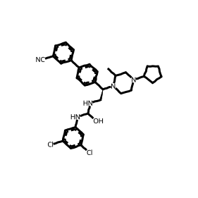 CC1CN(C2CCCC2)CCN1[C@@H](CNC(O)Nc1cc(Cl)cc(Cl)c1)c1ccc(-c2cccc(C#N)c2)cc1